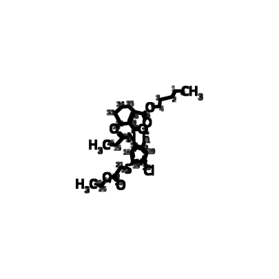 CCCCCOC(=O)C1=C(C(=O)N(C(=O)CC)c2cc(SCC(=O)OCC)c(Cl)cc2F)CCCC1